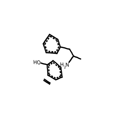 C=C.CC(N)Cc1ccccc1.Oc1ccccc1